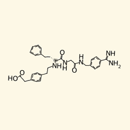 N=C(N)c1ccc(CNC(=O)CNC(=O)[C@@H](CCc2ccccc2)NCCc2ccc(CC(=O)O)cc2)cc1